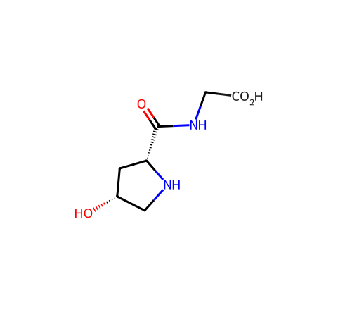 O=C(O)CNC(=O)[C@H]1C[C@@H](O)CN1